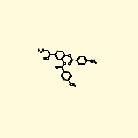 Cc1ccc(C(=O)Oc2ccc(C(O)CN)cc2OC(=O)c2ccc(C)cc2)cc1